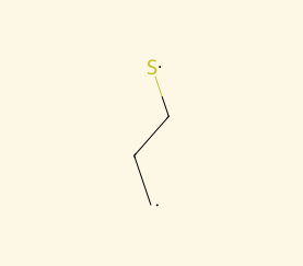 [CH2]CC[S]